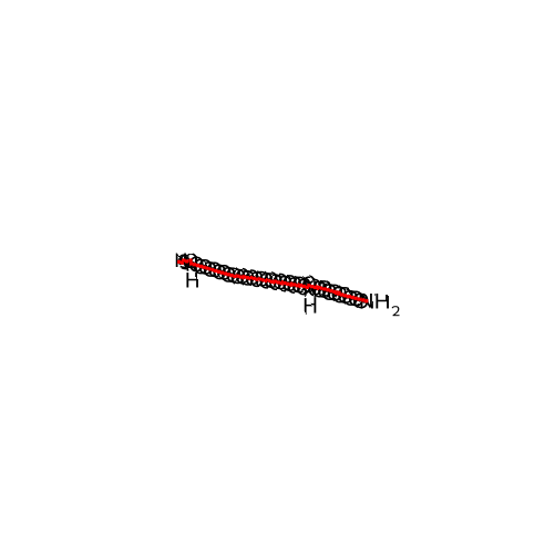 NCCOCCOCCOCCOCCOCCOCCOCCOCCOCCOCCNC(=O)CCOCCOCCOCCOCCOCCOCCOCCOCCOCCOCCOCCOCCOCCOCCOCCOCCOCCOCCOCCOCCOCCOCCOCCOCCNC(=O)CCSSc1ccccn1